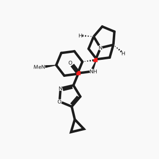 CN[C@H]1CC[C@H](CN2[C@@H]3CC[C@H]2C[C@@H](NC(=O)c2cc(C4CC4)on2)C3)CC1